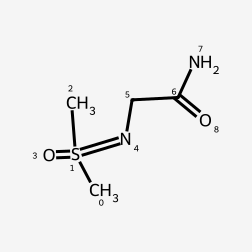 CS(C)(=O)=NCC(N)=O